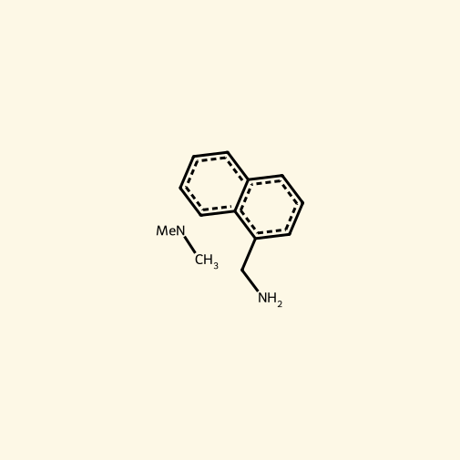 CNC.NCc1cccc2ccccc12